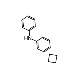 C1CCC1.c1ccc(Nc2ccccc2)cc1